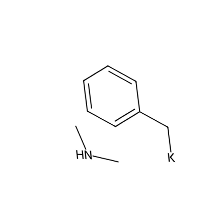 CNC.[K][CH2]c1ccccc1